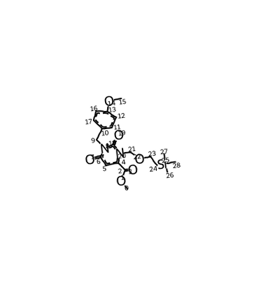 COC(=O)c1cc(=O)n(Cc2ccc(OC)cc2)c(=O)n1COCC[Si](C)(C)C